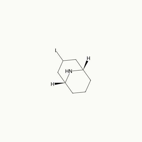 IC1C[C@H]2CCC[C@@H](C1)N2